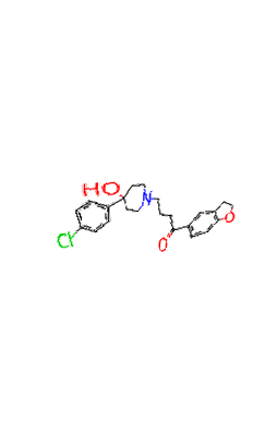 O=C(CCCN1CCC(O)(c2ccc(Cl)cc2)CC1)c1ccc2c(c1)CCO2